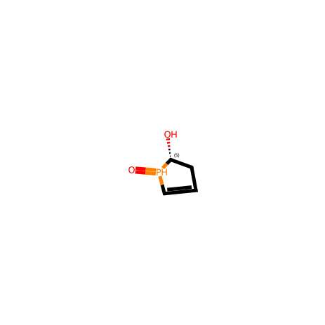 O=[PH]1C=CC[C@H]1O